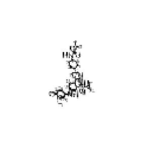 CC(C)OC(=O)N[C@H]1CC[C@H](c2ncc(-c3ccc(Nc4ccc(=O)[nH]c4)cc3S(=N)(=O)C3CC3)s2)CC1